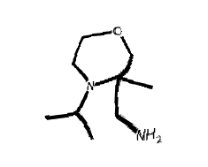 CC(C)N1CCOCC1(C)CN